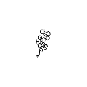 O=C1CC(c2ccsc2)(c2cccc(OCCC3CC3)n2)NC(=O)C1Sc1ccccc1Cl